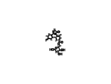 Cc1cc(C(=O)OCC2OC(O)CC(O)C2O)ccc1N1C(=O)CSC1c1ccc(F)cc1